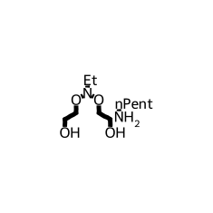 CCCCCN.CCN(OCCO)OCCO